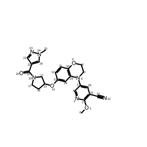 COc1ncc(N2CCOc3ccc(OC4CCN(C(=O)c5cnn(C)c5)C4)cc32)cc1C#N